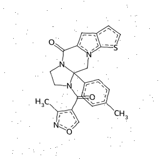 Cc1ccc(C23Cn4c(cc5ccsc54)C(=O)N2CCN3C(=O)c2conc2C)cc1